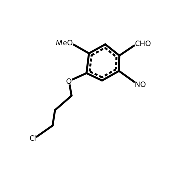 COc1cc(C=O)c(N=O)cc1OCCCCl